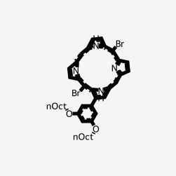 CCCCCCCCOc1cc(OCCCCCCCC)cc(-c2cc3cc4nc(c(Br)c5ccc(cc6nc(c(Br)c2[nH]3)C=C6)[nH]5)C=C4)c1